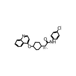 C[C@@H](C(=O)Nc1ccc(Cl)cc1)C1CCC(Oc2ccnc3ccccc23)CC1